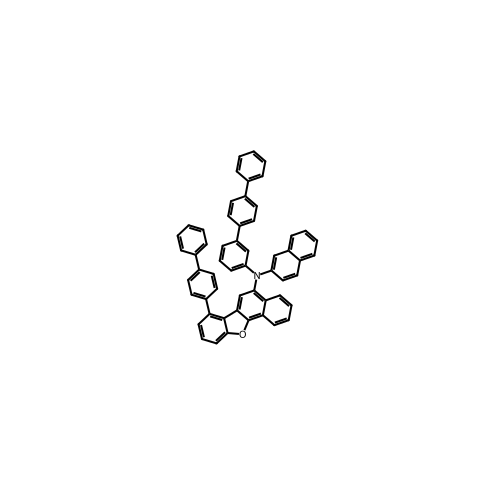 c1ccc(-c2ccc(-c3cccc(N(c4ccc5ccccc5c4)c4cc5c(oc6cccc(-c7ccc(-c8ccccc8)cc7)c65)c5ccccc45)c3)cc2)cc1